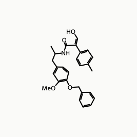 COc1cc(CC(C)NC(=O)/C(=C\O)c2ccc(C)cc2)ccc1OCc1ccccc1